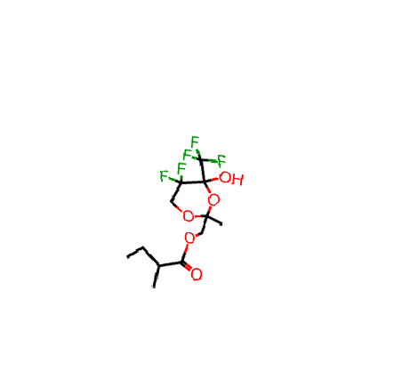 CCC(C)C(=O)OCC1(C)OCC(F)(F)C(O)(C(F)(F)F)O1